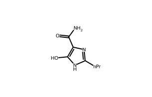 CCCc1nc(C(N)=O)c(O)[nH]1